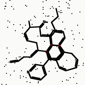 C=CC/C=C(\C/C=C\C(C)C(/C=C(/c1cccc(-c2cccnc2)c1)N(C)CCC)=N/C)c1cc2c(c3ccccc13)CC=CC=C2